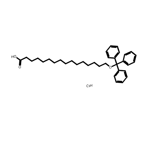 O=C(O)CCCCCCCCCCCCCCCOC(c1ccccc1)(c1ccccc1)c1ccccc1.[CsH]